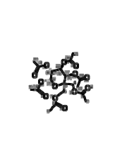 CC(=O)OCC1(COC(C)=O)O[C@H](OC(C)=O)[C@H](OC(C)=O)[C@@H](OC(C)=O)[C@H]1OC(C)=O